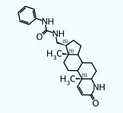 C[C@]12C=CC(=O)NC1CCC1C2CC[C@@]2(C)C1CC[C@@H]2CNC(=O)Nc1ccccc1